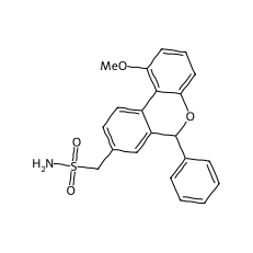 COc1cccc2c1-c1ccc(CS(N)(=O)=O)cc1C(c1ccccc1)O2